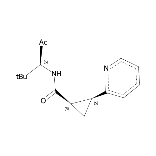 CC(=O)[C@@H](NC(=O)[C@@H]1C[C@@H]1c1ccccn1)C(C)(C)C